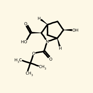 CC(C)(C)OC(=O)N1[C@@H]2C[C@@H](C[C@H]2O)[C@@H]1C(=O)O